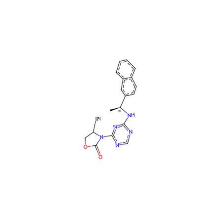 CC(C)C1COC(=O)N1c1ncnc(N[C@@H](C)c2ccc3ccccc3c2)n1